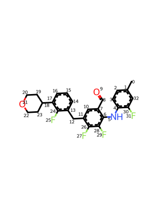 Cc1ccc(Nc2c(C=O)cc(Cc3cccc(C4CCOCC4)c3F)c(F)c2F)c(F)c1